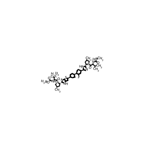 COC(=O)N[C@H](C(=O)N1C[C@@H](C)C[C@H]1c1ncc(-c2ccc(-c3ccc(-c4cc5[nH]c([C@@H]6C[C@H](C)CN6C(=O)[C@@H](NC(=O)OC)C(C)C)nc5s4)cc3)c(F)c2)[nH]1)C(C)C